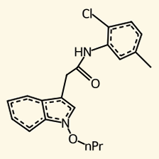 CCCOn1cc(CC(=O)Nc2cc(C)ccc2Cl)c2ccccc21